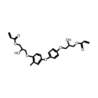 C=CC(=O)OCC(O)COc1ccc(Oc2ccc(OCC(O)COC(=O)C=C)c(C)c2)cc1